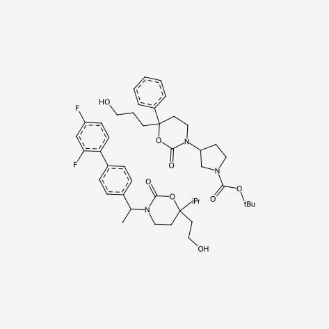 CC(C)(C)OC(=O)N1CCC(N2CCC(CCCO)(c3ccccc3)OC2=O)C1.CC(c1ccc(-c2ccc(F)cc2F)cc1)N1CCC(CCO)(C(C)C)OC1=O